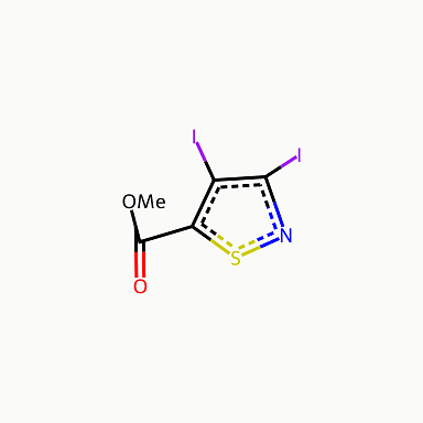 COC(=O)c1snc(I)c1I